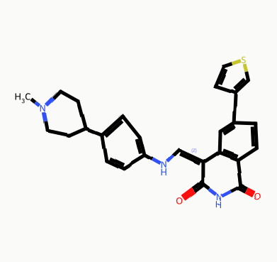 CN1CCC(c2ccc(N/C=C3\C(=O)NC(=O)c4ccc(-c5ccsc5)cc43)cc2)CC1